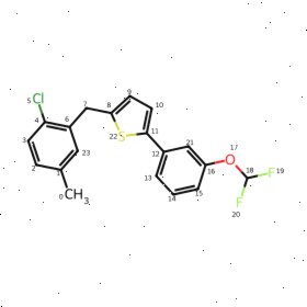 Cc1ccc(Cl)c(Cc2ccc(-c3cccc(OC(F)F)c3)s2)c1